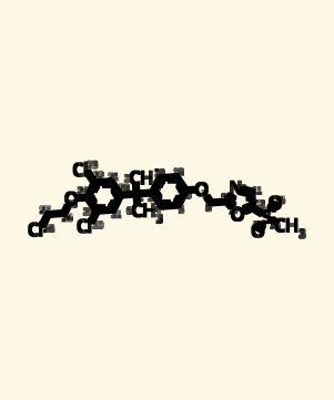 CC(C)(c1ccc(OCc2ncc(S(C)(=O)=O)o2)cc1)c1cc(Cl)c(OCCCl)c(Cl)c1